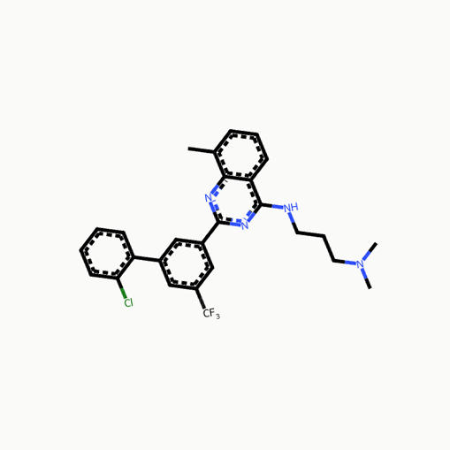 Cc1cccc2c(NCCCN(C)C)nc(-c3cc(-c4ccccc4Cl)cc(C(F)(F)F)c3)nc12